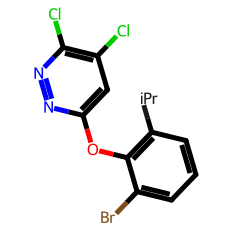 CC(C)c1cccc(Br)c1Oc1cc(Cl)c(Cl)nn1